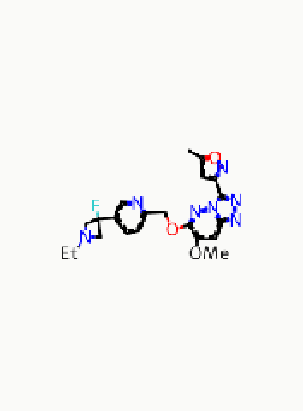 CCN1CC(F)(c2ccc(COc3nn4c(-c5cc(C)on5)nnc4cc3OC)nc2)C1